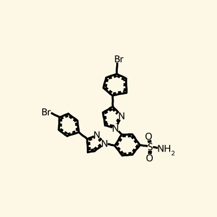 NS(=O)(=O)c1ccc(-n2ccc(-c3ccc(Br)cc3)n2)c(-n2ccc(-c3ccc(Br)cc3)n2)c1